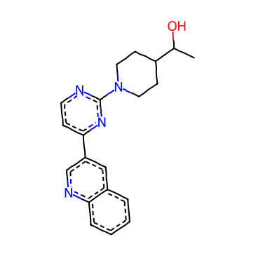 CC(O)C1CCN(c2nccc(-c3cnc4ccccc4c3)n2)CC1